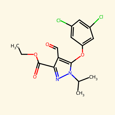 CCOC(=O)c1nn(C(C)C)c(Oc2cc(Cl)cc(Cl)c2)c1C=O